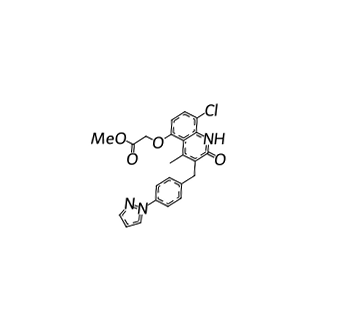 COC(=O)COc1ccc(Cl)c2[nH]c(=O)c(Cc3ccc(-n4cccn4)cc3)c(C)c12